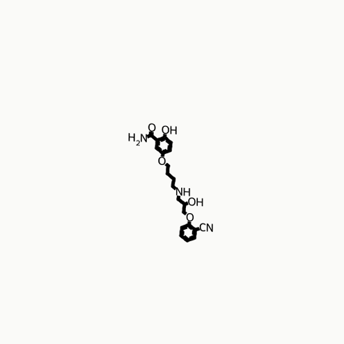 N#Cc1ccccc1OCC(O)CNCCCCOc1ccc(O)c(C(N)=O)c1